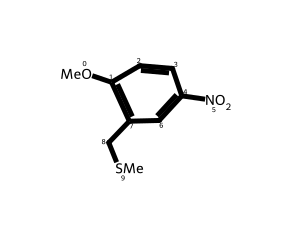 COc1ccc([N+](=O)[O-])cc1CSC